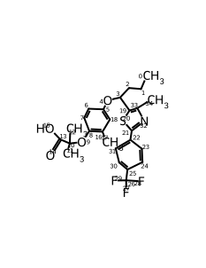 CCCC(Oc1ccc(OC(C)(C)C(=O)O)c(C)c1)c1sc(-c2ccc(C(F)(F)F)cc2)nc1C